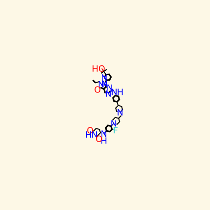 C=CCn1c(=O)c2cnc(Nc3ccc(C4CCN(CC5CCN(c6ccc(NC7CCC(=O)NC7=O)cc6F)CC5)CC4)cc3)nc2n1-c1cccc(C(C)(C)O)n1